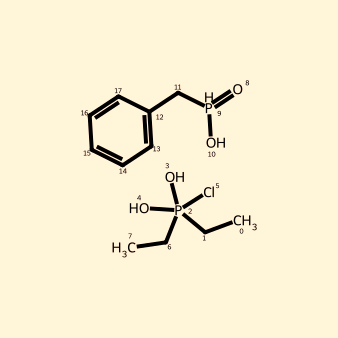 CCP(O)(O)(Cl)CC.O=[PH](O)Cc1ccccc1